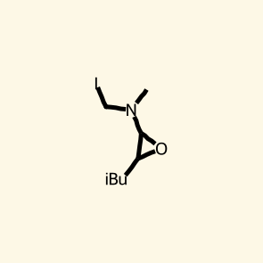 CCC(C)C1OC1N(C)CI